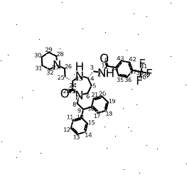 O=C(NC[C@@H]1CCN(CC(c2ccccc2)c2ccccc2)C(=O)[C@H](CCN2CCCCC2)N1)c1ccc(C(F)(F)F)cc1